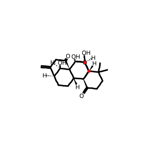 C=C1CC(=O)[C@]23[C@H](O)[C@H]1CC[C@H]2[C@@]12CO[C@]3(O)[C@@H](O)[C@@H]1C(C)(C)CCC2=O